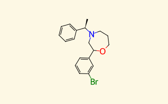 C[C@H](c1ccccc1)N1CCCOC(c2cccc(Br)c2)C1